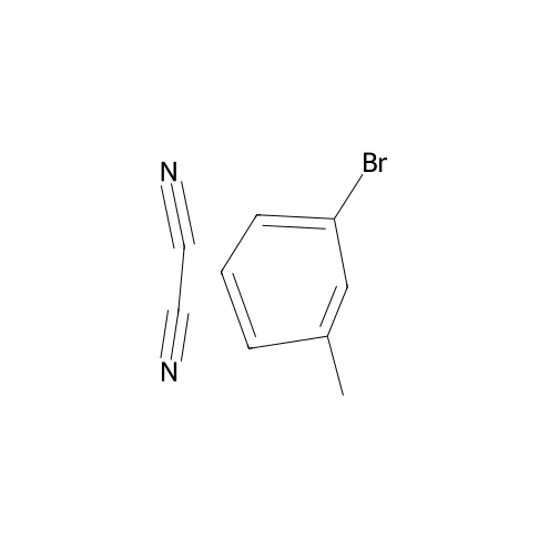 Cc1cccc(Br)c1.N#CC#N